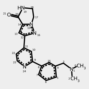 CN(C)Cc1cccc(-c2cc(-c3cc4n(n3)CCNC4=O)ccn2)c1